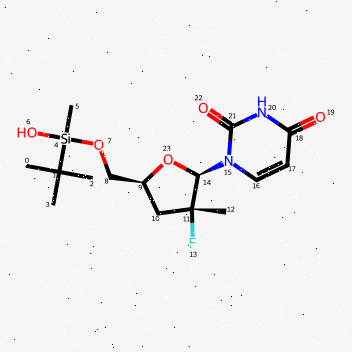 CC(C)(C)[Si](C)(O)OC[C@@H]1C[C@@](C)(F)[C@H](n2ccc(=O)[nH]c2=O)O1